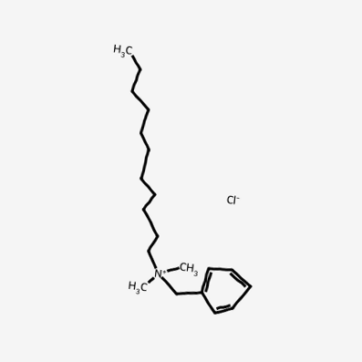 CCCCCCCCCCC[N+](C)(C)Cc1ccccc1.[Cl-]